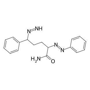 N=NC(CCC(N=Nc1ccccc1)C(N)=O)c1ccccc1